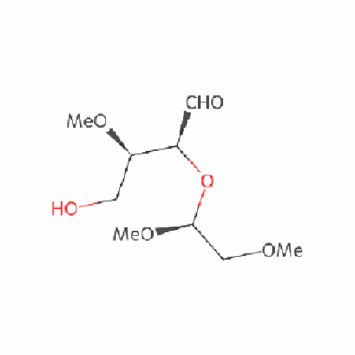 COC[C@@H](OC)O[C@H](C=O)[C@@H](CO)OC